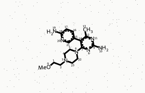 COCCN1CCN(c2nc(N)nc(C)c2-c2ccc(N)nc2)CC1